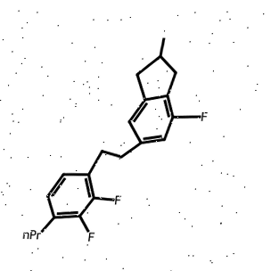 CCCc1ccc(CCc2cc(F)c3c(c2)CC(C)C3)c(F)c1F